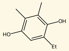 CCc1cc(O)c(C)c(C)c1O